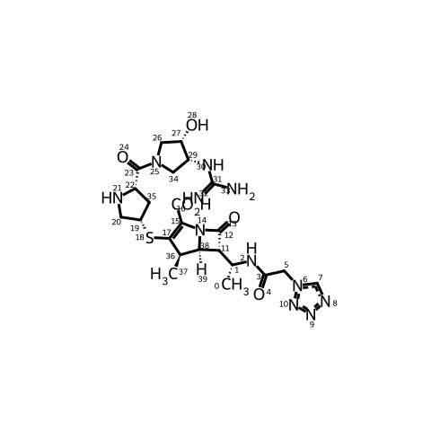 C[C@@H](NC(=O)Cn1cnnn1)[C@H]1C(=O)N2C(C(=O)O)=C(S[C@@H]3CN[C@H](C(=O)N4C[C@H](O)[C@H](NC(=N)N)C4)C3)[C@H](C)[C@H]12